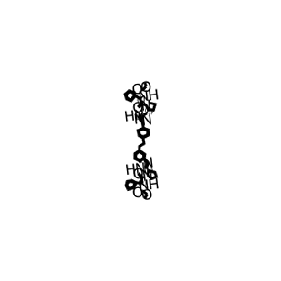 COC(=O)N[C@@H](C(=O)N1CCC[C@H]1c1nc(-c2ccc(CCc3ccc4[nH]c([C@@H]5CCCN5C(=O)[C@H](NC(=O)OC)c5ccccc5)nc4c3)cc2)n[nH]1)c1ccccc1